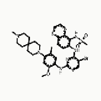 COc1cc(N2CCC3(CCN(C)CC3)CC2)c(C)cc1Nc1ncc(Br)c(Nc2ccc3nccnc3c2NS(C)(=O)=O)n1